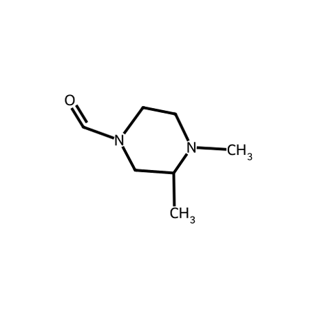 CC1CN(C=O)CCN1C